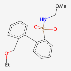 CCOCc1ccccc1-c1ccccc1S(=O)(=O)NCOC